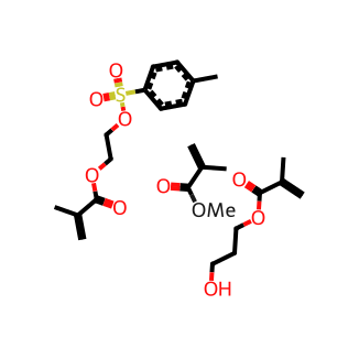 C=C(C)C(=O)OC.C=C(C)C(=O)OCCCO.C=C(C)C(=O)OCCOS(=O)(=O)c1ccc(C)cc1